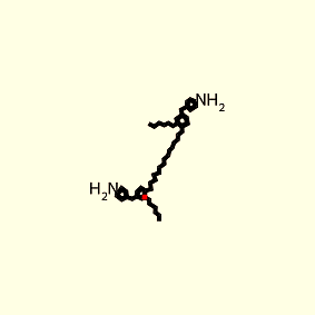 CCCCCCc1cc(Cc2ccc(N)cc2)ccc1CCCCCCCCCCCCCCCc1ccc(Cc2ccc(N)cc2)cc1CCCCCC